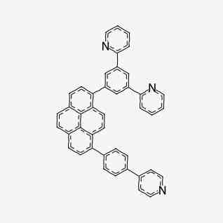 c1ccc(-c2cc(-c3ccccn3)cc(-c3ccc4ccc5ccc(-c6ccc(-c7ccncc7)cc6)c6ccc3c4c56)c2)nc1